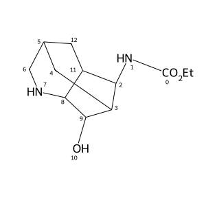 CCOC(=O)NC1C2CC3CNC(C2O)C1C3